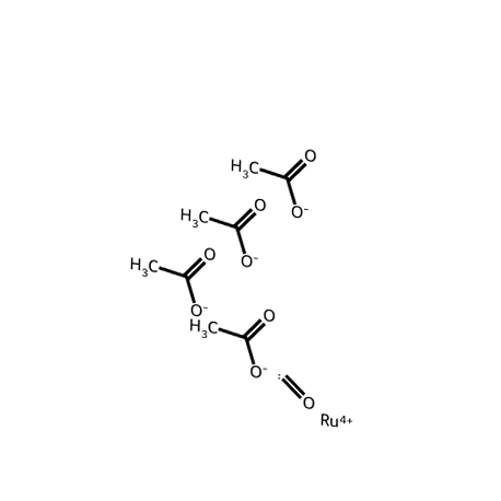 CC(=O)[O-].CC(=O)[O-].CC(=O)[O-].CC(=O)[O-].[C]=O.[Ru+4]